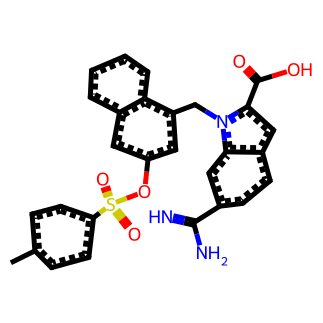 Cc1ccc(S(=O)(=O)Oc2cc(Cn3c(C(=O)O)cc4ccc(C(=N)N)cc43)c3ccccc3c2)cc1